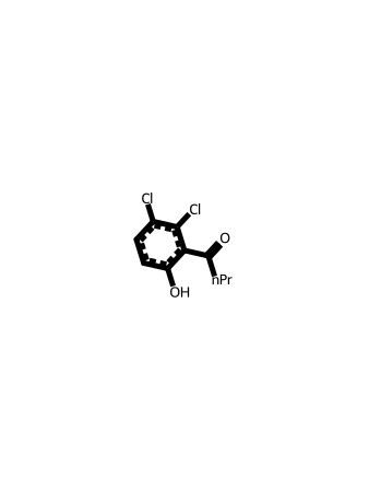 CCCC(=O)c1c(O)ccc(Cl)c1Cl